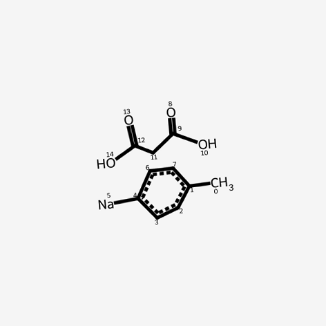 Cc1cc[c]([Na])cc1.O=C(O)CC(=O)O